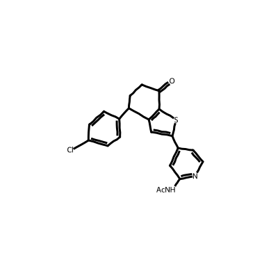 CC(=O)Nc1cc(-c2cc3c(s2)C(=O)CCC3c2ccc(Cl)cc2)ccn1